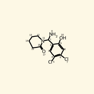 NC(c1cc(Cl)c(Cl)cc1O)N1CCCCC1=O